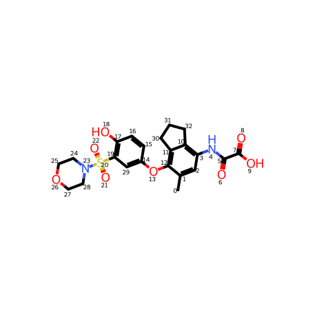 Cc1cc(NC(=O)C(=O)O)c2c(c1Oc1ccc(O)c(S(=O)(=O)N3CCOCC3)c1)CCC2